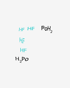 F.F.F.F.[PoH2].[PoH2]